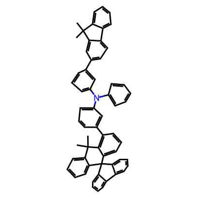 CC1(C)c2ccccc2-c2ccc(-c3cccc(N(c4ccccc4)c4cccc(-c5cccc6c5C(C)(C)c5ccccc5C65c6ccccc6-c6ccccc65)c4)c3)cc21